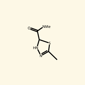 CNC(=O)C1NN=C(C)S1